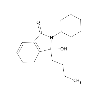 CCCCC1(O)C2=C(C=CCC2)C(=O)N1C1CCCCC1